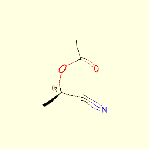 CC(=O)O[C@H](C)C#N